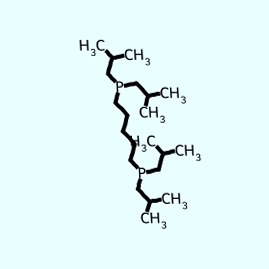 CC(C)CP(CCCCCP(CC(C)C)CC(C)C)CC(C)C